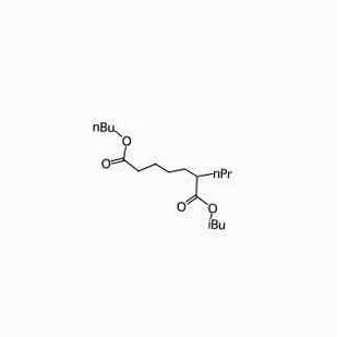 [CH2]CCC(CCCCC(=O)OCCCC)C(=O)OC(C)CC